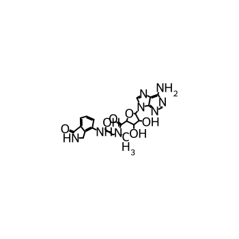 CN(CC(O)Nc1cccc2c1CNC2=O)C(=O)C1OC(n2cnc3c(N)ncnc32)C(O)C1O